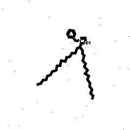 CCCCCCCCCCCCCCCCCC(CCCCCCCCCCCCCCCC)c1[nH]cc[n+]1Cc1ccccc1